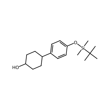 CC(C)(C)[Si](C)(C)Oc1ccc(C2CCC(O)CC2)cc1